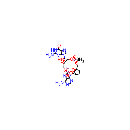 BP1(=O)OCC23CCC(C(n4cnc5c(N)ncnc54)O2)C3O[PH](=O)OCC2OC(n3cnc4c(=O)[nH]c(N)nc43)C(O1)C2O